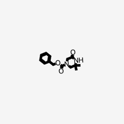 CC1(C)CN(C(=O)OCc2ccccc2)CC(=O)N1